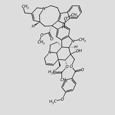 CCC1=C[C@@H]2CN(CCc3c([nH]c4ccccc34)[C@@](C(=O)OC)(c3cc4c(cc3OC)N(C)[C@H]3C(O)(COC(=O)c5ccc(OC)cc5)[C@H](OC(C)=O)[C@]5(CC)C=CCN6CC[C@]43C65)C2)C1